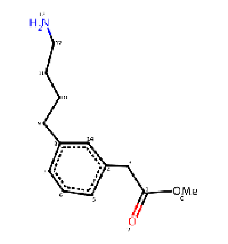 COC(=O)Cc1cccc(CCCCN)c1